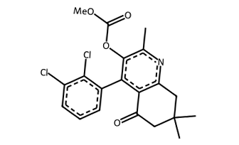 COC(=O)Oc1c(C)nc2c(c1-c1cccc(Cl)c1Cl)C(=O)CC(C)(C)C2